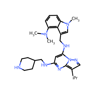 CC(C)c1cnn2c(NCc3cn(C)c4cccc(N(C)C)c34)cc(NCC3CCNCC3)nc12